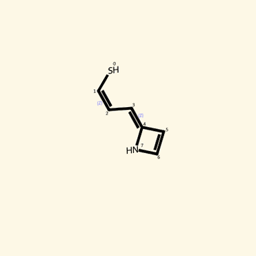 S/C=C\C=C1\C=CN1